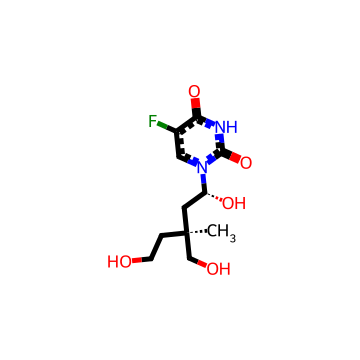 C[C@](CO)(CCO)C[C@@H](O)n1cc(F)c(=O)[nH]c1=O